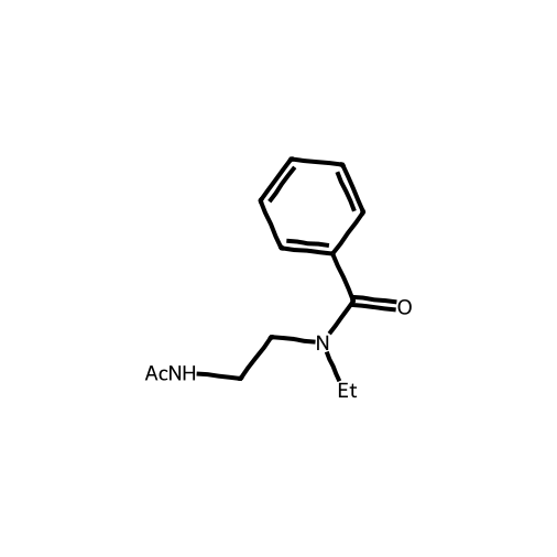 [CH2]CN(CCNC(C)=O)C(=O)c1ccccc1